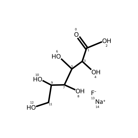 O=C(O)C(O)C(O)C(O)C(O)CO.[F-].[Na+]